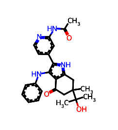 CC(=O)Nc1cc(-c2[nH]c3c(c2Nc2ccccc2)C(=O)CC(C)(C(C)(C)O)C3)ccn1